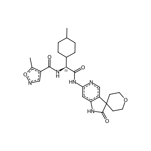 Cc1oncc1C(=O)N[C@H](C(=O)Nc1cc2c(cn1)C1(CCOCC1)C(=O)N2)C1CCC(C)CC1